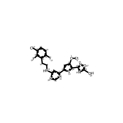 CCOc1cc(-c2cc(NCCc3c(F)ccc(Cl)c3F)ncn2)sc1-c1noc(O)n1